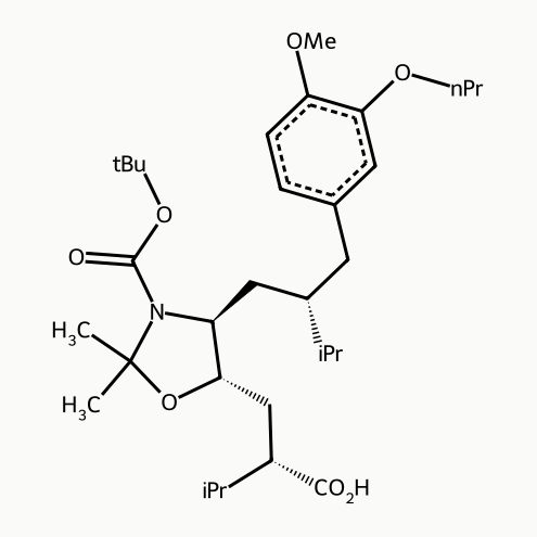 CCCOc1cc(C[C@@H](C[C@H]2[C@H](C[C@H](C(=O)O)C(C)C)OC(C)(C)N2C(=O)OC(C)(C)C)C(C)C)ccc1OC